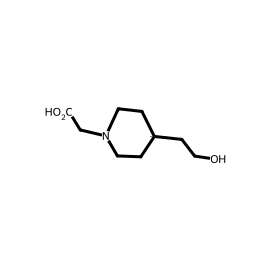 O=C(O)CN1CC[C](CCO)CC1